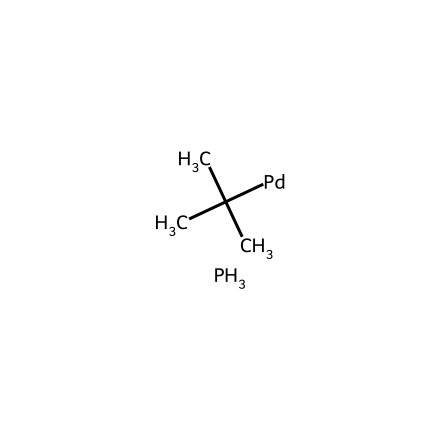 C[C](C)(C)[Pd].P